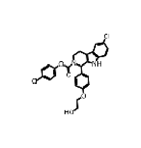 O=C(Oc1ccc(Cl)cc1)N1CCc2c([nH]c3ccc(Cl)cc23)C1c1ccc(OCCO)cc1